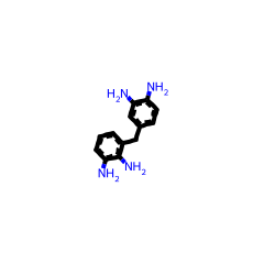 Nc1ccc(Cc2cccc(N)c2N)cc1N